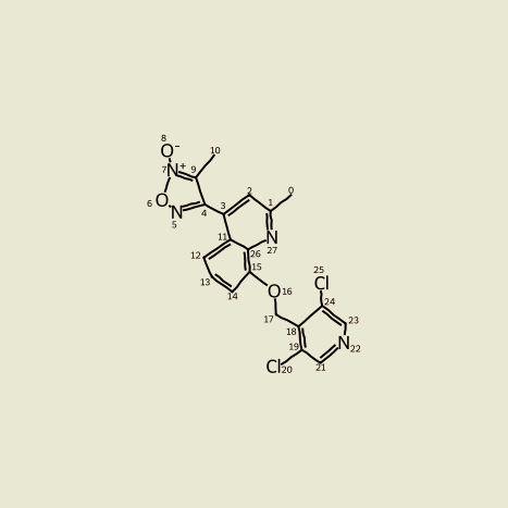 Cc1cc(-c2no[n+]([O-])c2C)c2cccc(OCc3c(Cl)cncc3Cl)c2n1